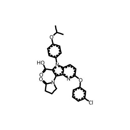 CC(C)Oc1ccc(-n2c(C(=O)O)c(N3CCCC3=O)c3nc(Oc4cccc(Cl)c4)ccc32)cc1